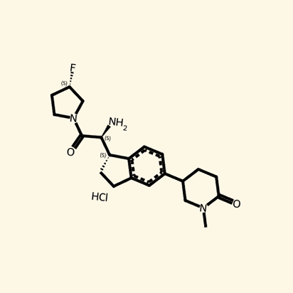 CN1CC(c2ccc3c(c2)CC[C@@H]3[C@H](N)C(=O)N2CC[C@H](F)C2)CCC1=O.Cl